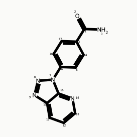 NC(=O)c1ccc(-n2nnc3cccnc32)cc1